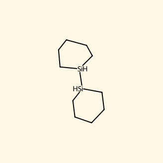 C1CC[SiH]([SiH]2CCCCC2)CC1